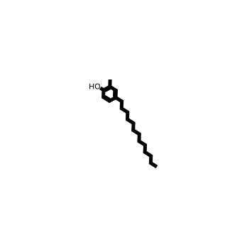 CCCCCCCCCCCCCc1ccc(O)c(C)c1